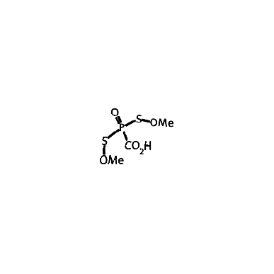 COSP(=O)(SOC)C(=O)O